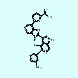 CC(=O)c1ccc(-c2cncc3[nH]c(-c4n[nH]c5cnc(-c6cncc(N)c6)c(F)c45)nc23)s1